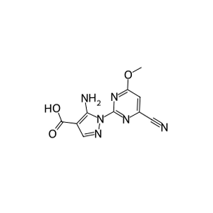 COc1cc(C#N)nc(-n2ncc(C(=O)O)c2N)n1